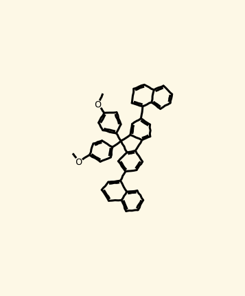 COc1ccc(C2(c3ccc(OC)cc3)c3cc(-c4cccc5ccccc45)ccc3-c3ccc(-c4cccc5ccccc45)cc32)cc1